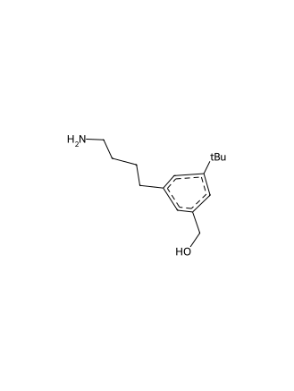 CC(C)(C)c1cc(CO)cc(CCCCN)c1